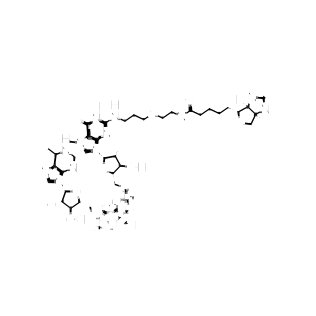 CC1NCNc2c1ncn2[C@@H]1O[C@H](COP(=O)(O)OP(=O)(O)OP(=O)(O)OC[C@H]2O[C@@H](n3c[n+](C)c4c(=O)[nH]c(NCCCSCCNC(=O)CCCC[C@@H]5SC[C@@H]6NC(=O)N[C@@H]65)nc43)[C@@H](O)C2O)C(O)[C@@H]1O